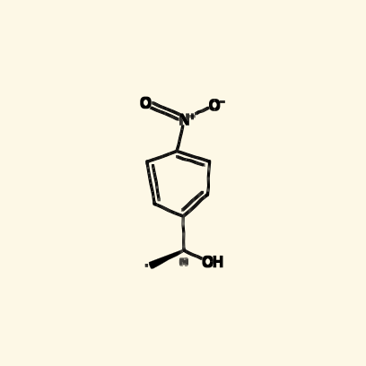 [CH2][C@H](O)c1ccc([N+](=O)[O-])cc1